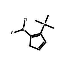 C[Si](C)(C)C1=C(B(Cl)Cl)CC=C1